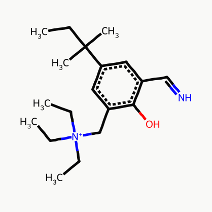 CCC(C)(C)c1cc(C=N)c(O)c(C[N+](CC)(CC)CC)c1